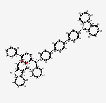 c1ccc(-c2ccc(N(c3ccc(-c4ccc(-c5ccc(-n6c7ccccc7c7ccccc76)cc5)cc4)cc3)c3ccccc3-c3cccc4oc5ccccc5c34)cc2)cc1